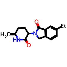 C=C1CCC(N2Cc3ccc(CC)cc3C2=O)C(=O)N1